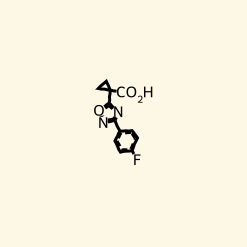 O=C(O)C1(c2nc(-c3ccc(F)cc3)no2)CC1